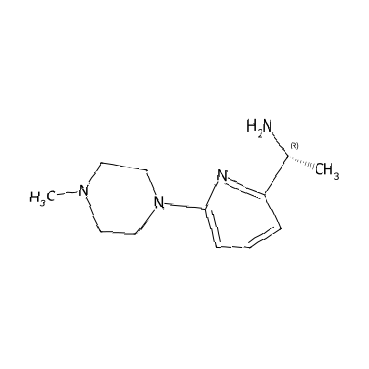 C[C@@H](N)c1cccc(N2CCN(C)CC2)n1